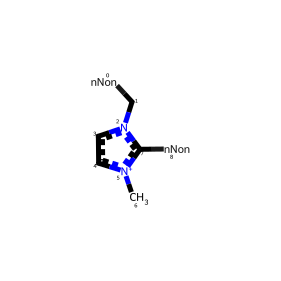 CCCCCCCCCCn1cc[n+](C)c1CCCCCCCCC